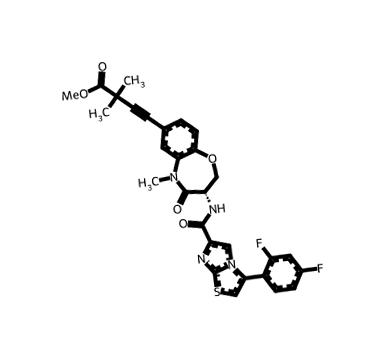 COC(=O)C(C)(C)C#Cc1ccc2c(c1)N(C)C(=O)[C@@H](NC(=O)c1cn3c(-c4ccc(F)cc4F)csc3n1)CO2